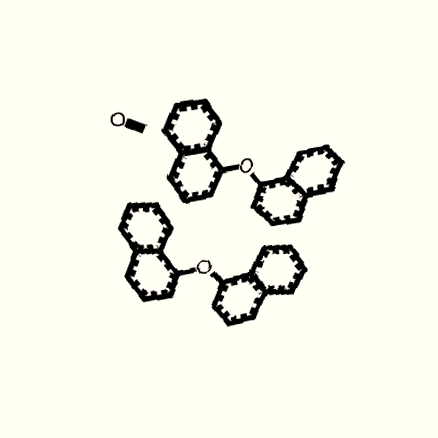 C=O.c1ccc2c(Oc3cccc4ccccc34)cccc2c1.c1ccc2c(Oc3cccc4ccccc34)cccc2c1